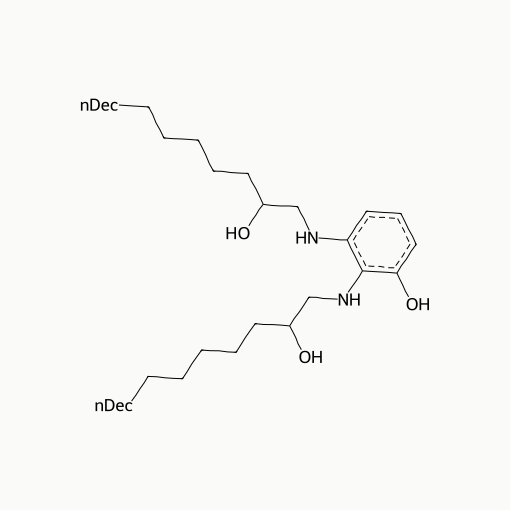 CCCCCCCCCCCCCCCC(O)CNc1cccc(O)c1NCC(O)CCCCCCCCCCCCCCC